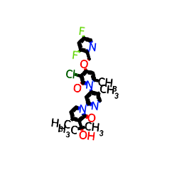 Cc1cnc(-n2ccc(C)c(C(C)(C)O)c2=O)cc1-n1c(C)cc(OCc2ncc(F)cc2F)c(Cl)c1=O